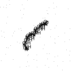 CCOC(=O)c1nc(NC(=O)c2cc(NC(=O)CCNC(=O)c3nc(NC(=O)CC4(CNC(=O)c5cc(NC(=O)c6nc(NC(=O)CCNC(=O)c7cc(NC(=O)c8nccn8C)cn7C)cn6C)cn5C)CC4)cn3C)cn2C)cn1C